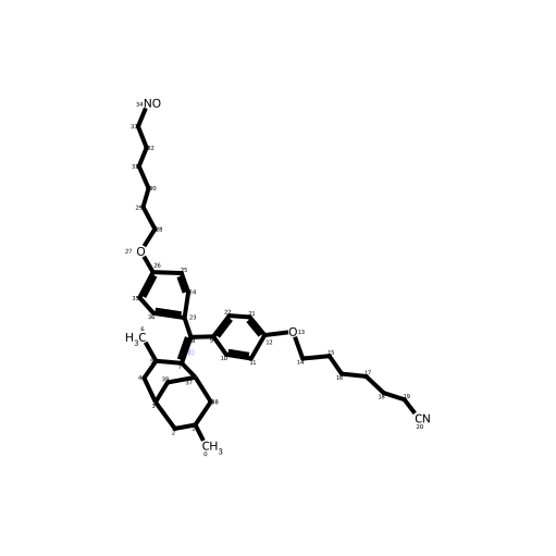 CC1CC2CC(C)/C(=C(/c3ccc(OCCCCCCC#N)cc3)c3ccc(OCCCCCCN=O)cc3)C(C1)C2